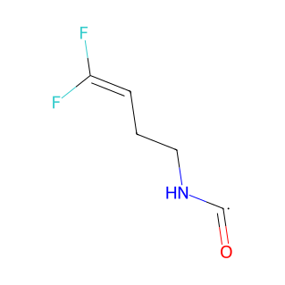 O=[C]NCCC=C(F)F